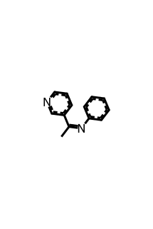 CC(=Nc1ccccc1)c1cccnc1